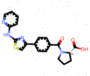 O=C(O)[C@@H]1CCCN1C(=O)c1ccc(-c2csc(Nc3ccccn3)n2)cc1